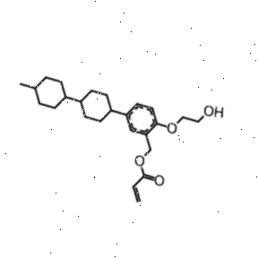 C=CC(=O)OCc1cc(C2CCC(C3CCC(C)CC3)CC2)ccc1OCCO